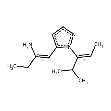 C/C=C(/C(C)C)n1nccc1/C=C(\N)CC